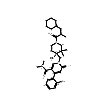 CC(CC1CCCCC1)C(=O)N1CC[C@@](O)(Cn2cc(C(=O)N(C)C)c(-c3ccccc3F)cc2=O)C(C)(C)C1